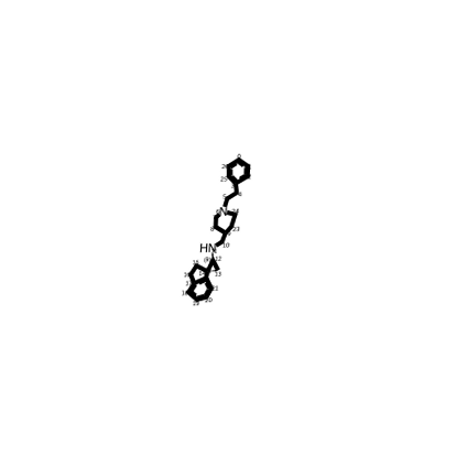 c1ccc(CCN2CCC(CN[C@@H]3C[C@]34CCc3ccccc34)CC2)cc1